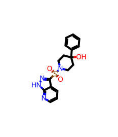 O=S(=O)(c1n[nH]c2ncccc12)N1CCC(O)(c2ccccc2)CC1